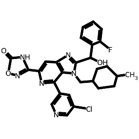 CC1CCC(Cn2c(C(O)c3ccccc3F)nc3cc(-c4noc(=O)[nH]4)nc(-c4cncc(Cl)c4)c32)CC1